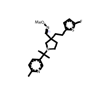 CO/N=C/C1(CCc2ccc(F)s2)CCN(C(C)(C)c2ccc(C)nc2)C1